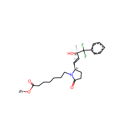 CC(C)OC(=O)CCCCCCN1C(=O)CC[C@@H]1/C=C/[C@@](C)(O)C(F)(F)c1ccccc1